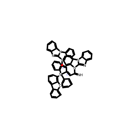 N=C(/C=C(\C=C\n1c2ccccc2n2c3ccccc3nc12)[Si](c1ccccc1)(c1ccccc1)c1cccc2c1oc1ccccc12)n1c2ccccc2n2c3ccccc3nc12